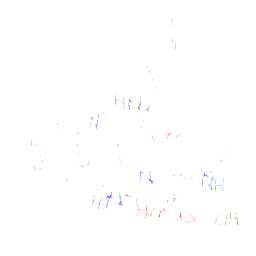 CCCCNC(=O)c1nc2ccccc2c2[nH]cnc12.CNCC(=O)O.Cl